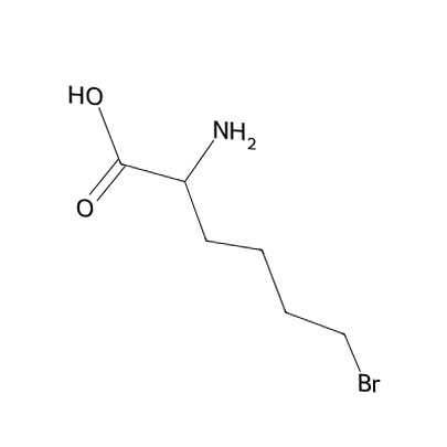 NC(CCCCBr)C(=O)O